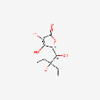 CCC(O)(CC)[C@H](O)[C@H]1OC(=O)C(O)=C1O